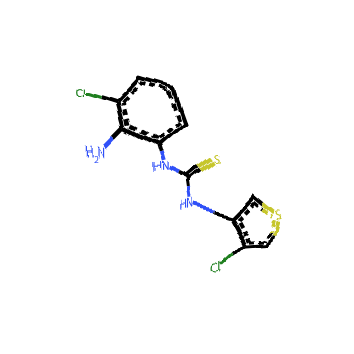 Nc1c(Cl)cccc1NC(=S)Nc1cscc1Cl